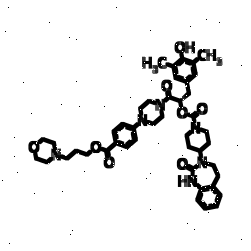 Cc1cc(C[C@@H](OC(=O)N2CCC(N3CCc4ccccc4NC3=O)CC2)C(=O)N2CCN(c3ccc(C(=O)OCCCN4CCOCC4)cc3)CC2)cc(C)c1O